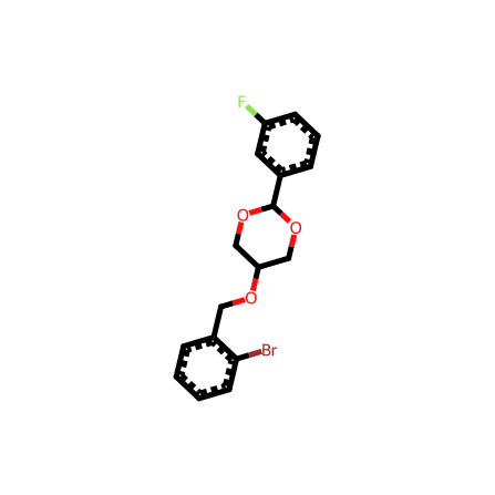 Fc1cccc(C2OCC(OCc3ccccc3Br)CO2)c1